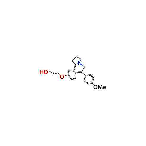 COc1ccc(C2=c3ccc(OCCCO)cc3=C3CCCN3C2)cc1